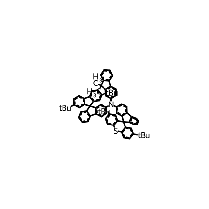 CC(C)(C)c1ccc2c(c1)C1(c3cc(C(C)(C)C)ccc3S2)c2ccccc2-c2ccc(N(c3ccc4c(c3)C(C)(C)c3ccccc3-4)c3ccc4c(c3)C3(c5ccccc5-4)c4cc(C(C)(C)C)ccc4-c4ccc(C(C)(C)C)cc43)cc21